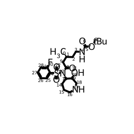 C[C@@H](CCNC(=O)OC(C)(C)C)CC(=O)N(C1CCCNCC1O)S(=O)(=O)c1ccccc1F